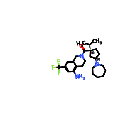 CC(C)[C@]1(C(=O)N2CCc3c(N)cc(C(F)(F)F)cc3C2)CC[C@@H](N2CCCCCC2)C1